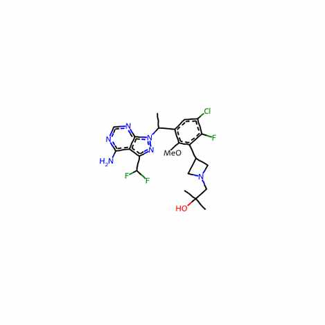 COc1c(C(C)n2nc(C(F)F)c3c(N)ncnc32)cc(Cl)c(F)c1C1CN(CC(C)(C)O)C1